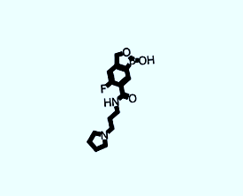 O=C(NCCCN1CCCC1)c1cc2c(cc1F)COB2O